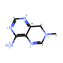 CN1C=Nc2c(N)ncnc2C1